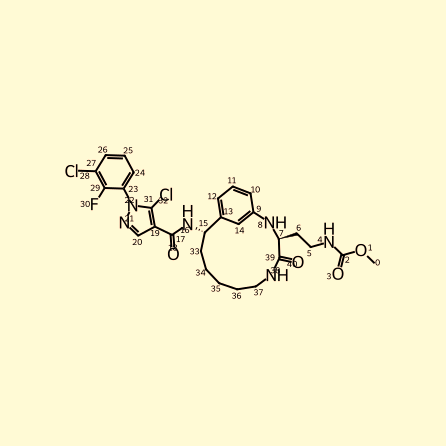 COC(=O)NCC[C@@H]1Nc2cccc(c2)[C@@H](NC(=O)c2cnn(-c3cccc(Cl)c3F)c2Cl)CCCCCNC1=O